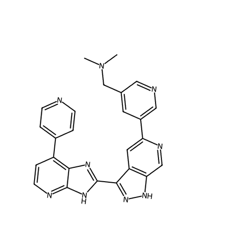 CN(C)Cc1cncc(-c2cc3c(-c4nc5c(-c6ccncc6)ccnc5[nH]4)n[nH]c3cn2)c1